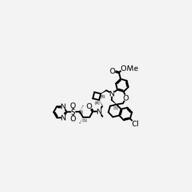 COC(=O)c1ccc2c(c1)N(C[C@@H]1CC[C@H]1CN(C)C(=O)C[C@H](C)[C@@H](C)S(=O)(=O)c1ncccn1)C[C@@]1(CCCc3cc(Cl)ccc31)CO2